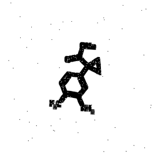 COC(=O)C1(c2ccc(C(F)(F)F)c(N)c2)CC1